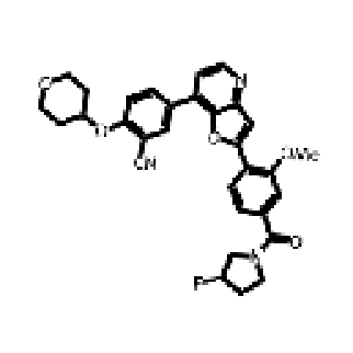 COc1cc(C(=O)N2CC[C@@H](F)C2)ccc1-c1cc2nccc(-c3ccc(OC4CCOCC4)c(C#N)c3)c2o1